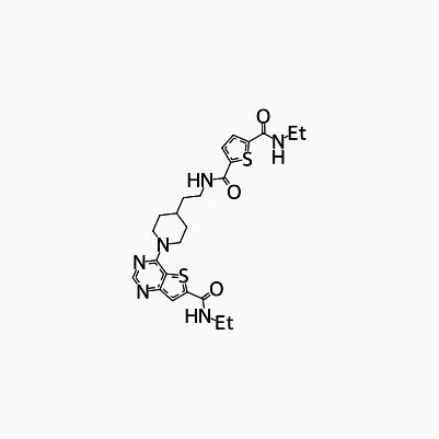 CCNC(=O)c1ccc(C(=O)NCCC2CCN(c3ncnc4cc(C(=O)NCC)sc34)CC2)s1